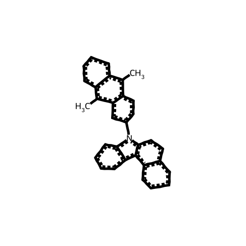 Cc1c2ccccc2c(C)c2cc(-n3c4ccccc4c4c5ccccc5ccc43)ccc12